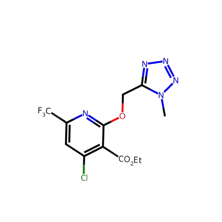 CCOC(=O)c1c(Cl)cc(C(F)(F)F)nc1OCc1nnnn1C